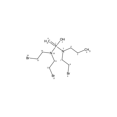 C=P(O)(N(CCC)CCBr)N(CCBr)CCBr